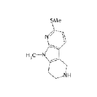 CSc1ccc2c3c(n(C)c2n1)CCNC3